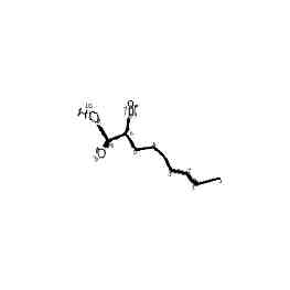 CCCCCCC(Br)C(=O)O